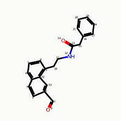 O=Cc1ccc2cccc(CCNC(=O)Cc3ccccc3)c2c1